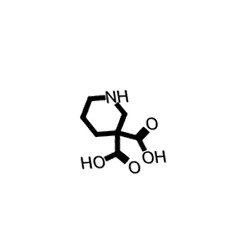 O=C(O)C1(C(=O)O)CCCNC1